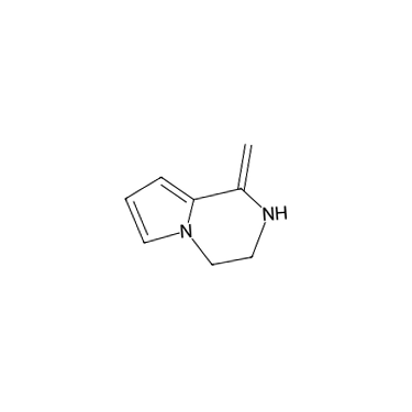 C=C1NCCn2cccc21